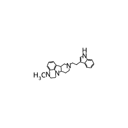 CN1CCN2c3c(cccc31)C1CN(CCc3c[nH]c4ccccc34)CCC12